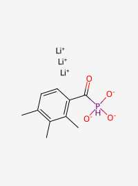 Cc1ccc(C(=O)[PH]([O-])([O-])[O-])c(C)c1C.[Li+].[Li+].[Li+]